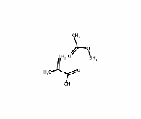 C=C(C)C(=O)O.CC(=O)O[SiH3]